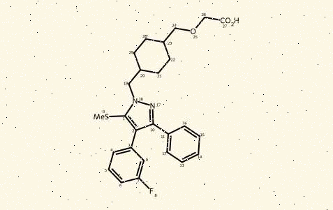 CSc1c(-c2cccc(F)c2)c(-c2ccccc2)nn1CC1CCC(COCC(=O)O)CC1